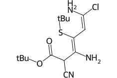 CC(C)(C)OC(=O)C(C#N)/C(N)=C(/C=C(\N)Cl)SC(C)(C)C